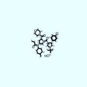 CCC(=O)N(C1CCC(C)CC1)[C@H]1C[C@@H](C(=O)N2CCOCC2)N(C(=O)[C@@H]2CN(C(C)(C)C)C[C@H]2c2ccc(Cl)cc2)C1.Cl